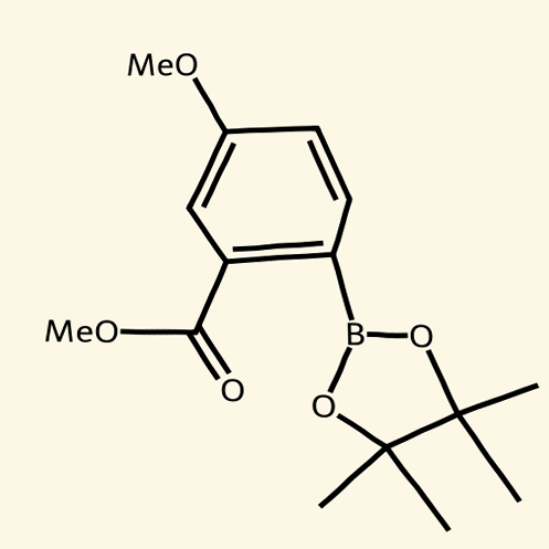 COC(=O)c1cc(OC)ccc1B1OC(C)(C)C(C)(C)O1